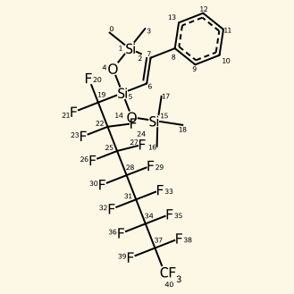 C[Si](C)(C)O[Si](C=Cc1ccccc1)(O[Si](C)(C)C)C(F)(F)C(F)(F)C(F)(F)C(F)(F)C(F)(F)C(F)(F)C(F)(F)C(F)(F)F